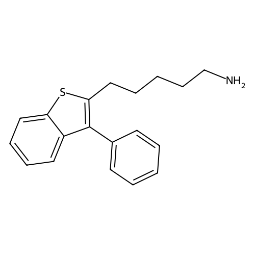 NCCCCCc1sc2ccccc2c1-c1ccccc1